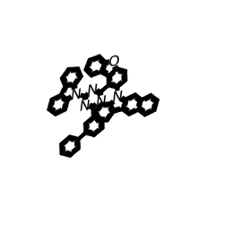 c1ccc(-c2cccc(-c3nc(-c4c(-n5c6ccccc6c6cc7ccccc7cc65)ccc5oc6ccccc6c45)nc(-n4c5ccccc5c5ccccc54)n3)c2)cc1